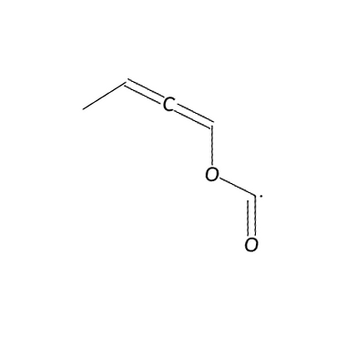 CC=C=CO[C]=O